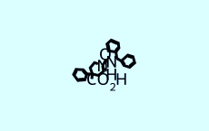 O=C(NC(c1ccccc1)c1ccccc1)N1CCC(C(=O)O)(c2ccccc2)CC1